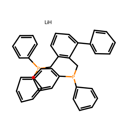 [LiH].c1ccc(-c2cccc(CP(c3ccccc3)c3ccccc3)c2CP(c2ccccc2)c2ccccc2)cc1